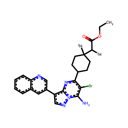 [2H]C(C(=O)OCC)C1([2H])CCC(c2nc3c(-c4cnc5ccccc5c4)cnn3c(N)c2Br)CC1